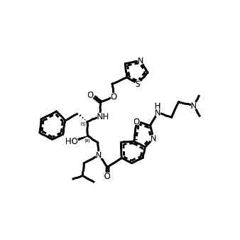 CC(C)CN(C[C@@H](O)[C@H](Cc1ccccc1)NC(=O)OCc1cncs1)C(=O)c1ccc2nc(NCCN(C)C)oc2c1